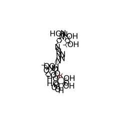 CC(=O)O[C@@]12CO[C@@H]1C[C@H](O)[C@@]1(C)C(=O)[C@H](O)C3=C(C)[C@@H](OC(=O)[C@H](OC(=O)C4CCN(c5ncnc(N6CCN(Cc7ccc(-n8c(O)nnc8-c8cc(C(C)C)c(O)cc8O)cc7)CC6)n5)CC4)[C@@H](NC(=O)OC(C)(C)C)c4ccccc4)C[C@@](O)([C@@H](O)C12)C3(C)C